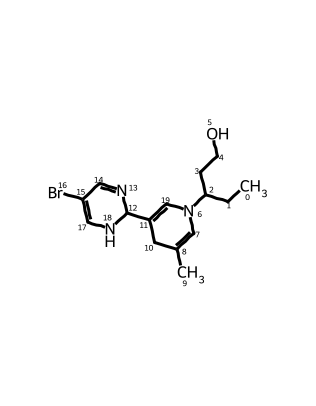 CCC(CCO)N1C=C(C)CC(C2N=CC(Br)=CN2)=C1